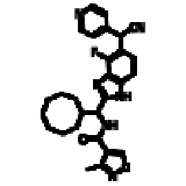 Cc1nocc1C(=O)NC(c1nc2c(F)c(C(C#N)c3ccncc3)ccc2[nH]1)C1CCCCCCC1